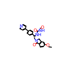 CCOc1ccc2c(c1)CN(C[C@H](NC(=O)NC=O)c1ccc(-c3ccncc3)cc1)C2=O